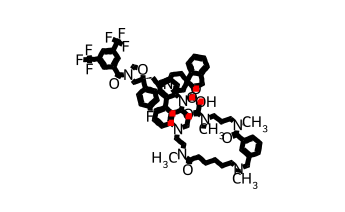 CN(CCCCCC(=O)N(C)CCN1CCC(N(C(=O)O)c2ccccc2-c2ccccc2)CC1)Cc1cccc(C(=O)N(C)CCCN(C)C(=O)CO[C@H]2Cc3ccccc3C23CCN(CC[C@]2(c4ccc(F)cc4)CN(C(=O)c4cc(C(F)(F)F)cc(C(F)(F)F)c4)CO2)CC3)c1